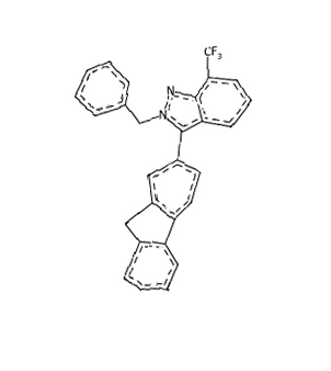 FC(F)(F)c1cccc2c(-c3ccc4c(c3)Cc3ccccc3-4)n(Cc3ccccc3)nc12